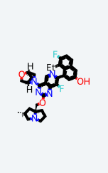 CCc1c(F)ccc2cc(O)cc(-c3ncc4c(N5C[C@@H]6C[C@H]5CO6)nc(OC[C@@]56CCCN5C[C@H](C)C6)nc4c3F)c12